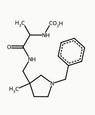 CC(NC(=O)O)C(=O)NCC1(C)CCN(Cc2ccccc2)C1